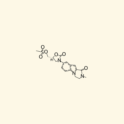 CN1CCn2c(cc3cc(N4C[C@H](COS(C)(=O)=O)OC4=O)ccc32)C1=O